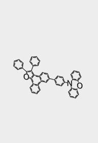 c1ccc(-c2oc3c4ccccc4c4cc(-c5ccc(N6c7ccccc7Oc7ccccc76)cc5)ccc4c3c2-c2ccccc2)cc1